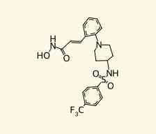 O=C(C=Cc1ccccc1N1CCC(NS(=O)(=O)c2ccc(C(F)(F)F)cc2)CC1)NO